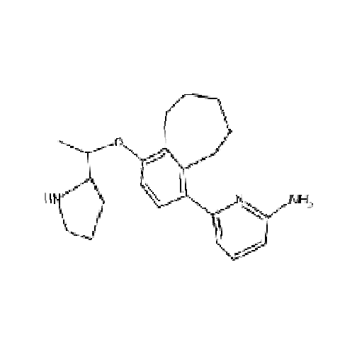 CC(Oc1ccc(-c2cccc(N)n2)c2c1CCCCC2)C1CCCN1